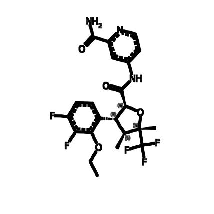 CCOc1c([C@@H]2[C@@H](C(=O)Nc3ccnc(C(N)=O)c3)O[C@](C)(C(F)(F)F)[C@H]2C)ccc(F)c1F